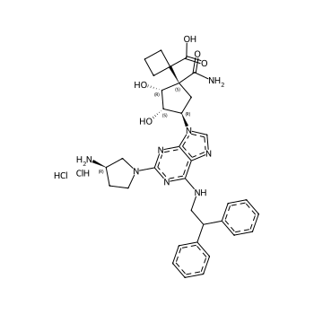 Cl.Cl.NC(=O)[C@]1(C2(C(=O)O)CCC2)C[C@@H](n2cnc3c(NCC(c4ccccc4)c4ccccc4)nc(N4CC[C@@H](N)C4)nc32)[C@H](O)[C@@H]1O